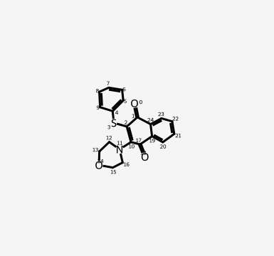 O=C1C(Sc2ccccc2)=C(N2CCOCC2)C(=O)c2ccccc21